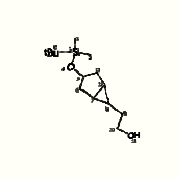 CC(C)(C)[Si](C)(C)OC1CC2C(CCO)C2C1